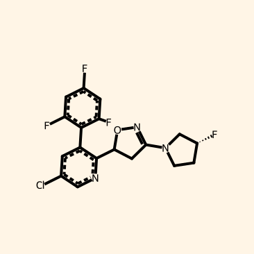 Fc1cc(F)c(-c2cc(Cl)cnc2C2CC(N3CC[C@@H](F)C3)=NO2)c(F)c1